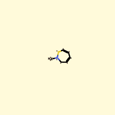 CN1CC=CC=CS1